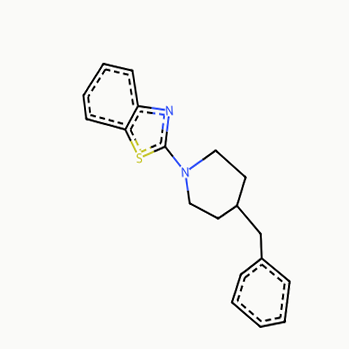 c1ccc(CC2CCN(c3nc4ccccc4s3)CC2)cc1